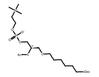 CCCCCCCCCCCCCCCCOC[C@H](COP(=O)([O-])OCC[N+](C)(C)C)SC(C)=O